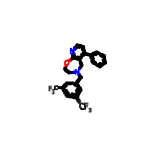 FC(F)(F)c1cc(CN2CCOc3nccc(-c4ccccc4)c3C2)cc(C(F)(F)F)c1